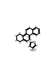 Cl.c1ccc2c(c1)ccc1c3c(ccc12)CCCC3.c1ccoc1